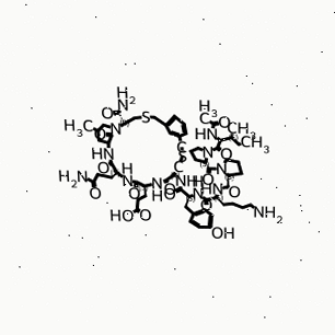 CC[C@H](C)C(NC(C)=O)C(=O)N1CCC[C@H]1C(=O)N1CCC[C@H]1C(=O)N[C@@H](CCCCN)C(=O)N[C@@H](Cc1ccc(O)cc1)C(=O)N[C@H]1CSCc2cccc(c2)CSC[C@@H](C(N)=O)N2CC(C)CC(NC(=O)[C@H](CCC(N)=O)NC(=O)[C@H](CCC(=O)O)NC1=O)C2=O